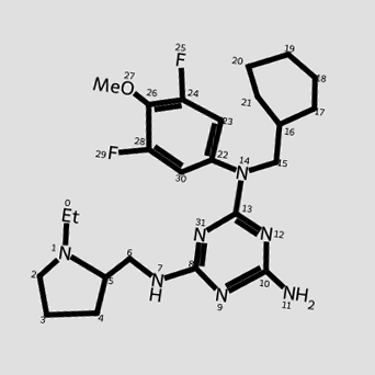 CCN1CCCC1CNc1nc(N)nc(N(CC2CCCCC2)c2cc(F)c(OC)c(F)c2)n1